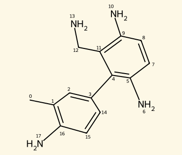 Cc1cc(-c2c(N)ccc(N)c2CN)ccc1N